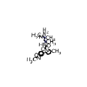 C=N/C(N)=C(C)\C=C(/C)NC(=O)C(=O)N1C[C@@H](C)CC[C@H]1c1ccc2oc(C)nc2c1